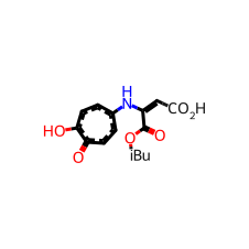 CCC(C)OC(=O)C(=CC(=O)O)Nc1ccc(O)c(=O)cc1